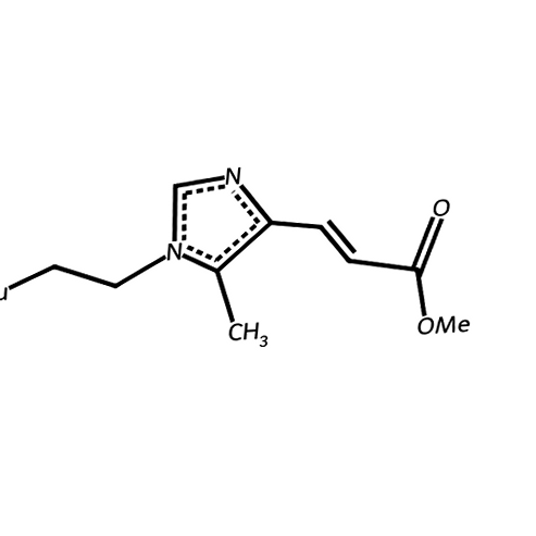 COC(=O)/C=C/c1ncn(CCC(C)(C)C)c1C